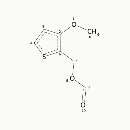 COc1ccsc1COC=O